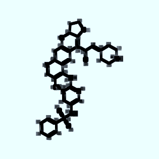 N#Cc1cnc2cc(OC3CCOC3)c(NC(=O)C=C3CCNCC3)cc2c1Nc1ncc(NS(=O)(=O)c2ccccc2)cn1